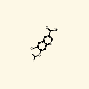 O=C(O)c1cnc2cc(OC(F)F)c(Cl)cc2c1